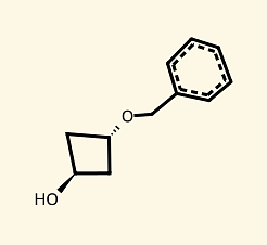 O[C@H]1C[C@H](OCc2ccccc2)C1